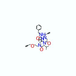 C#CCOCCN1C[C@H]2N(C(=O)CN(CC#C)N2C(=O)NCc2ccccc2)[C@@H](C(C)C)C1=O